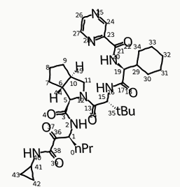 CCC[C@H](NC(=O)[C@H]1[C@@H]2CCC[C@H]2CN1C(=O)[C@H](NC(=O)[C@@H](NC(=O)c1cnccn1)C1CCCCC1)C(C)(C)C)C(=O)C(=O)NC1CC1